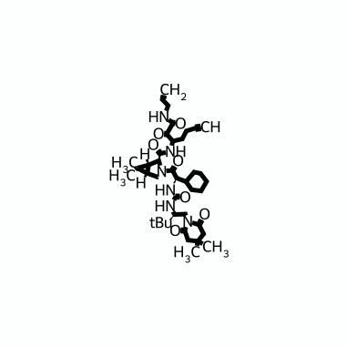 C#CCCC(NC(=O)[C@@H]1[C@@H]2[C@H](CN1C(=O)[C@@H](NC(=O)N[C@H](CN1C(=O)CC(C)(C)CC1=O)C(C)(C)C)C1CCCCC1)C2(C)C)C(=O)C(=O)NCC=C